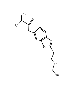 CC(C)C(=O)Cc1ccc2cc(CCNSS)oc2c1